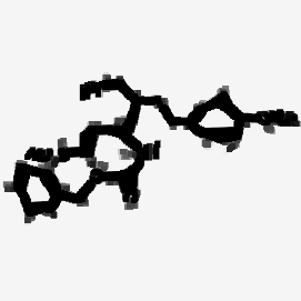 COc1ccc(CSC(CC(C)C)C(C=CS(=O)(=O)O)NC(=O)OCc2ccccc2)cc1